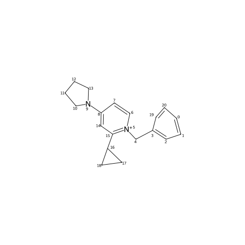 c1ccc(C[n+]2ccc(N3CCCC3)cc2C2CC2)cc1